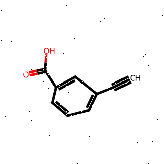 C#Cc1cc[c]c(C(=O)O)c1